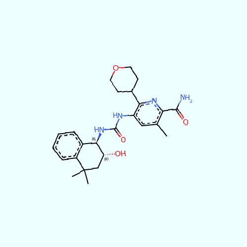 Cc1cc(NC(=O)N[C@@H]2c3ccccc3C(C)(C)C[C@H]2O)c(C2CCOCC2)nc1C(N)=O